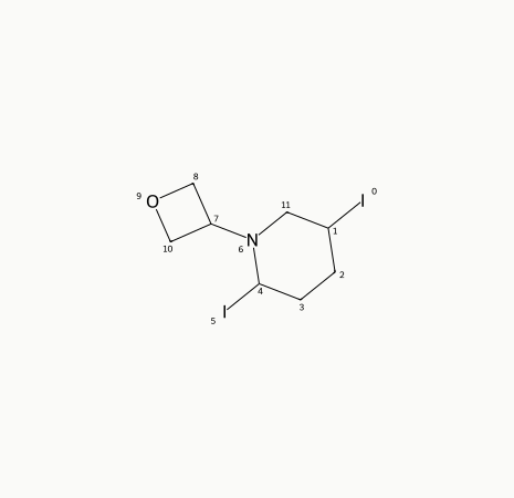 IC1CCC(I)N(C2COC2)C1